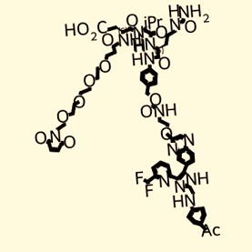 CC(=O)c1ccc(NCc2nc(-c3cccc(C(F)F)n3)c(-c3ccc4ncc(OCCNC(=O)OCc5ccc(NC(=O)[C@H](CCCNC(N)=O)NC(=O)[C@@H](NC(=O)[C@H](CCC(=O)O)NC(=O)CCOCCOCCOCCOCCN6C(=O)C=CC6=O)C(C)C)cc5)nc4c3)[nH]2)cc1